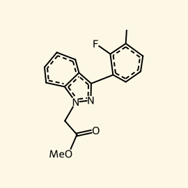 COC(=O)Cn1nc(-c2cccc(C)c2F)c2ccccc21